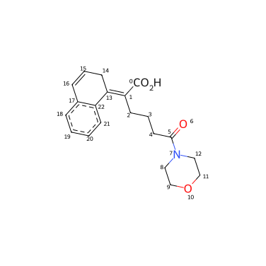 O=C(O)/C(CCCC(=O)N1CCOCC1)=C1\CC=Cc2ccccc21